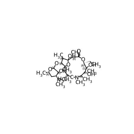 CC[C@H]1OC(=O)[C@H](C)C2(O)O[C@@](C)(C[C@@H](C)CN(C)[C@H](C)[C@@H](O)[C@]1(C)O)[C@H](O[C@@H]1O[C@H](C)CC(N(C)C)[C@H]1O)[C@H]2C